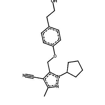 Cc1nn(C2CCCC2)c(COc2ccc(CCO)cc2)c1C#N